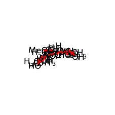 COC(C)(C)CCOC(C)(C)CC(=O)N[C@@H](CCC(=O)NCC(=O)N/N=C1\C=C[C@]2(C)C(=C1)CC[C@@H]1[C@H]3C[C@H](C)[C@]4(C(=O)CO)O[C@@]34C[C@@H](O)[C@]12F)C(=O)NCC(=O)N/N=C1\C=C[C@@]2(C)C(=C1)CC[C@H]1[C@@H]3C[C@@H](C)[C@@]4(C(=O)CO)O[C@]34C[C@H](O)[C@@]12F